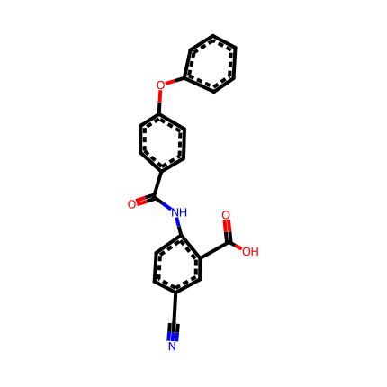 N#Cc1ccc(NC(=O)c2ccc(Oc3ccccc3)cc2)c(C(=O)O)c1